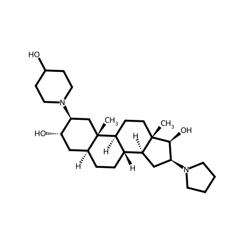 C[C@]12C[C@H](N3CCC(O)CC3)[C@@H](O)C[C@@H]1CC[C@@H]1[C@@H]2CC[C@]2(C)[C@@H](O)[C@@H](N3CCCC3)C[C@@H]12